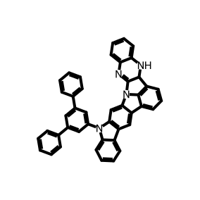 c1ccc(-c2cc(-c3ccccc3)cc(-n3c4ccccc4c4cc5c6cccc7c6n(c5cc43)C3=Nc4ccccc4NC37)c2)cc1